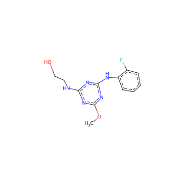 COc1nc(NCCO)nc(Nc2ccccc2F)n1